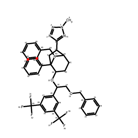 Cn1nnc(C2CC3(c4ccccc4)C(OC(COCc4ccccc4)c4cc(C(F)(F)F)cc(C(F)(F)F)c4)CCC2N3Cc2ccccc2)n1